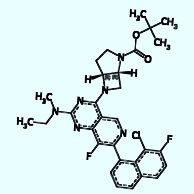 CCN(C)c1nc(N2C[C@@H]3[C@H]2CCN3C(=O)OC(C)(C)C)c2cnc(-c3cccc4ccc(F)c(Cl)c34)c(F)c2n1